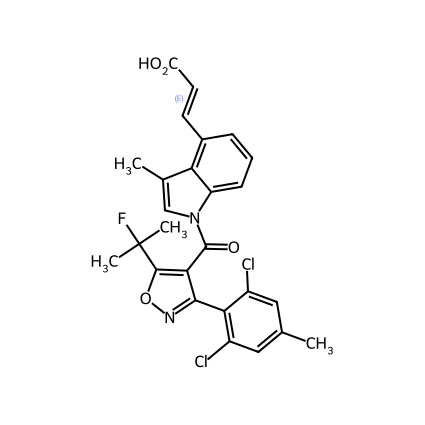 Cc1cc(Cl)c(-c2noc(C(C)(C)F)c2C(=O)n2cc(C)c3c(/C=C/C(=O)O)cccc32)c(Cl)c1